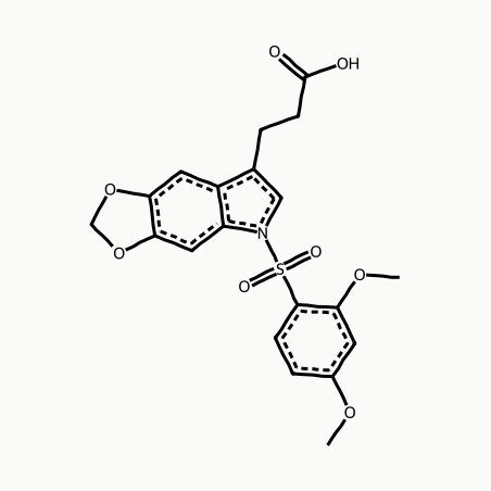 COc1ccc(S(=O)(=O)n2cc(CCC(=O)O)c3cc4c(cc32)OCO4)c(OC)c1